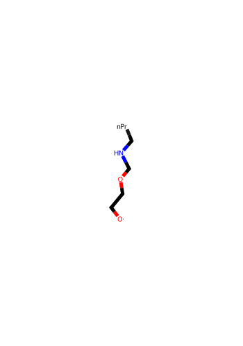 CCCCNCOCC[O]